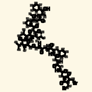 CC[C@H](C)[C@@H]([C@@H](CC(=O)N1CCC[C@H]1[C@H](OC)[C@@H](C)C(=O)N[C@H](C)[C@@H](O)c1ccccc1)OC)N(C)C(=O)[C@@H](NC(=O)[C@H](C(C)C)N(C)C(=O)COCNC(=O)CNC(=O)[C@H](Cc1ccccc1)NC(=O)CNC(=O)CNC(=O)CN1C(=O)C(CBr)=C(CBr)C1=O)C(C)C